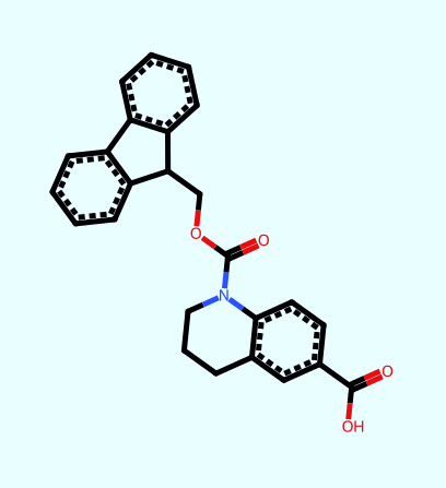 O=C(O)c1ccc2c(c1)CCCN2C(=O)OCC1c2ccccc2-c2ccccc21